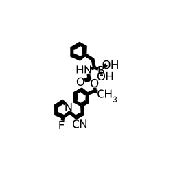 CC(OC(=O)NC(Cc1ccccc1)B(O)O)c1cccc(C=C(C#N)c2ncccc2F)c1